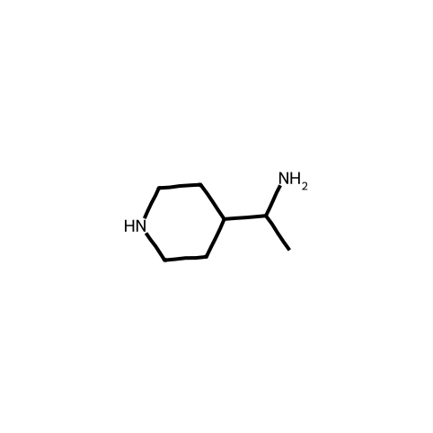 CC(N)C1CCNCC1